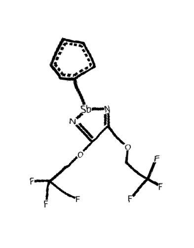 FC(F)(F)COC1=[N][Sb]([c]2ccccc2)[N]=C1OCC(F)(F)F